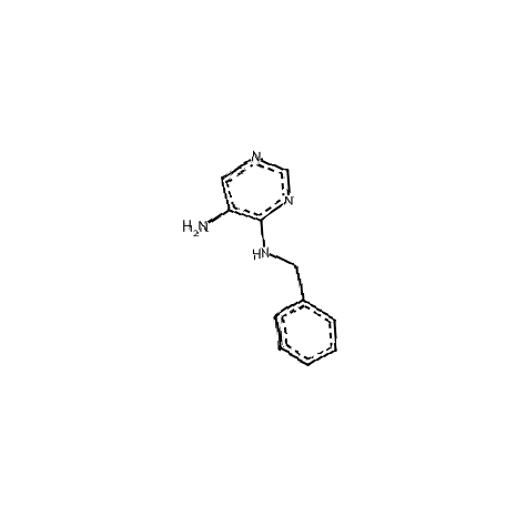 Nc1cncnc1NCc1ccccc1